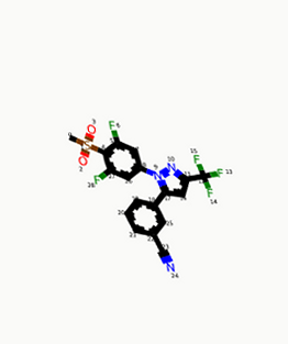 CS(=O)(=O)c1c(F)cc(-n2nc(C(F)(F)F)cc2-c2cccc(C#N)c2)cc1F